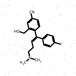 CN(C)CC/C=C(\c1ccc(F)cc1)c1ccc(C#N)cc1CO